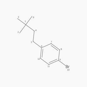 CC(C)(C)CCc1ccc(Br)cc1